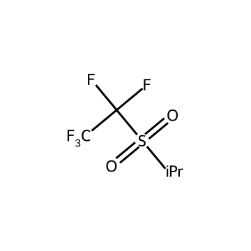 CC(C)S(=O)(=O)C(F)(F)C(F)(F)F